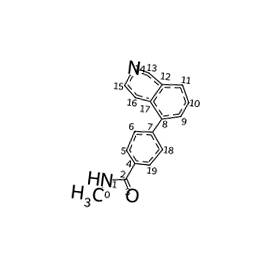 CNC(=O)c1ccc(-c2cccc3cnccc23)cc1